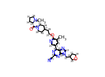 Cc1cc(-c2nc(C#N)nc3c2ncn3CC2CCOC2)cnc1OCCC1CCN(C(=O)[C@@H]2CCCN2C)CC1